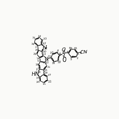 N#Cc1ccc(S(=O)(=O)c2ccc(-n3c4c(c5cc6[nH]c7ccccc7c6cc53)C=C3C4=Nc4ccccc43)cc2)cc1